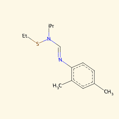 CCSN(C=Nc1ccc(C)cc1C)C(C)C